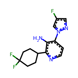 Nc1c(-n2cc(F)cn2)ccnc1C1CCC(F)(F)CC1